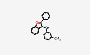 Cc1cccc([Se]c2c(-c3ccccc3)oc3ccccc23)c1